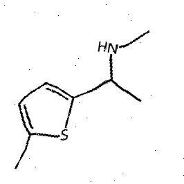 CNC(C)c1ccc(C)s1